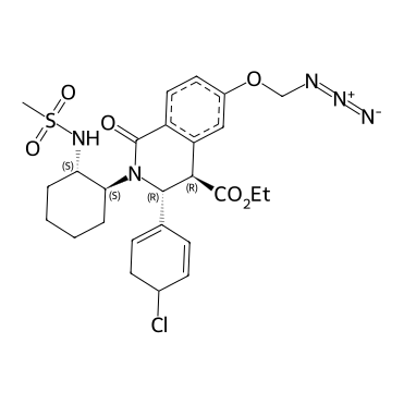 CCOC(=O)[C@@H]1c2cc(OCN=[N+]=[N-])ccc2C(=O)N([C@H]2CCCC[C@@H]2NS(C)(=O)=O)[C@H]1C1=CCC(Cl)C=C1